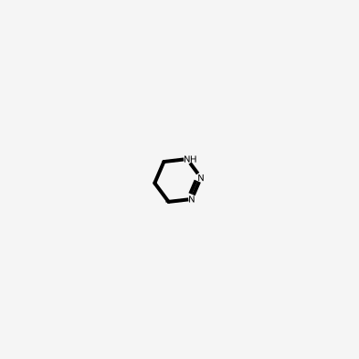 [CH]1CCNN=N1